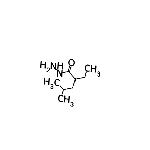 CCC(CC(C)C)C(=O)NN